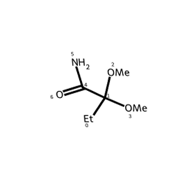 CCC(OC)(OC)C(N)=O